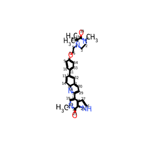 CN1CCN(CCOc2ccc(-c3ccc4nc(-c5cn(C)c(=O)c6[nH]ccc56)ccc4c3)cc2)C(C)(C)C1=O